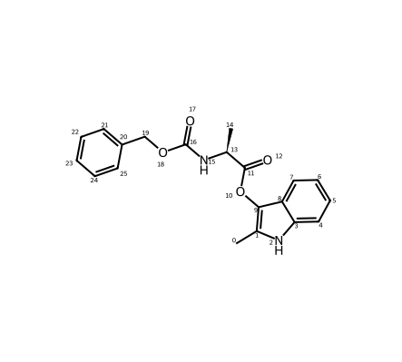 Cc1[nH]c2ccccc2c1OC(=O)[C@H](C)NC(=O)OCc1ccccc1